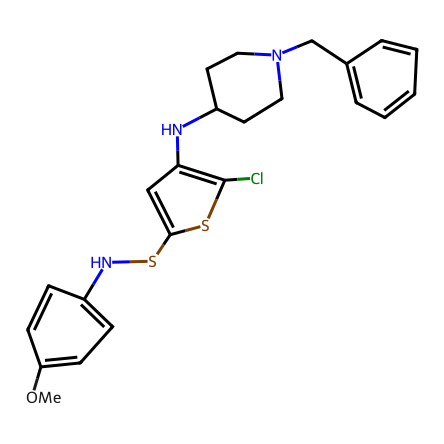 COc1ccc(NSc2cc(NC3CCN(Cc4ccccc4)CC3)c(Cl)s2)cc1